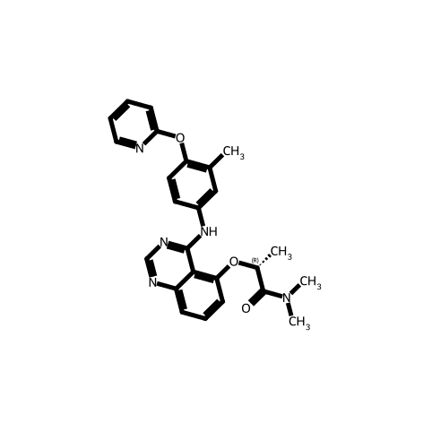 Cc1cc(Nc2ncnc3cccc(O[C@H](C)C(=O)N(C)C)c23)ccc1Oc1ccccn1